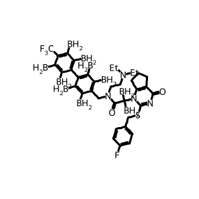 Bc1c(B)c(-c2c(B)c(B)c(C(F)(F)F)c(B)c2B)c(B)c(B)c1CN(CCN(CC)CC)C(=O)C(B)(B)n1c(SCc2ccc(F)cc2)nc(=O)c2c1CCC2